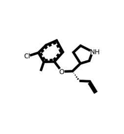 C=CC[C@H](Oc1cccc(Cl)c1C)C1CCNC1